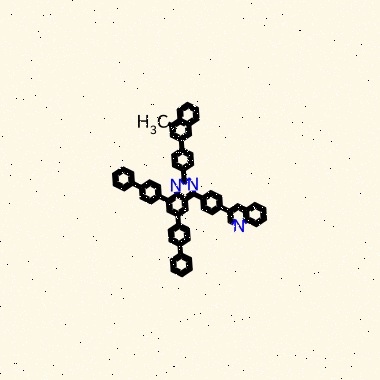 Cc1cc(-c2ccc(-c3nc(-c4ccc(-c5cnc6ccccc6c5)cc4)c4cc(-c5ccc(-c6ccccc6)cc5)cc(-c5ccc(-c6ccccc6)cc5)c4n3)cc2)cc2ccccc12